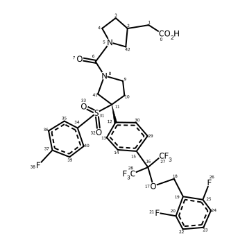 O=C(O)CC1CCN(C(=O)N2CC[C@](c3ccc(C(OCc4c(F)cccc4F)(C(F)(F)F)C(F)(F)F)cc3)(S(=O)(=O)c3ccc(F)cc3)C2)C1